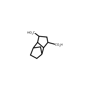 O=C(O)C1CC(C(=O)O)C2C3CCC(C3)C12